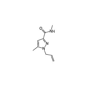 C=CCn1nc(C(=O)NC)cc1C